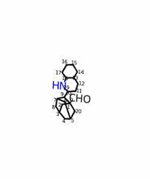 O=CC12CC3CC(CC(C3)C1C1CCC3CCCCC3N1)C2